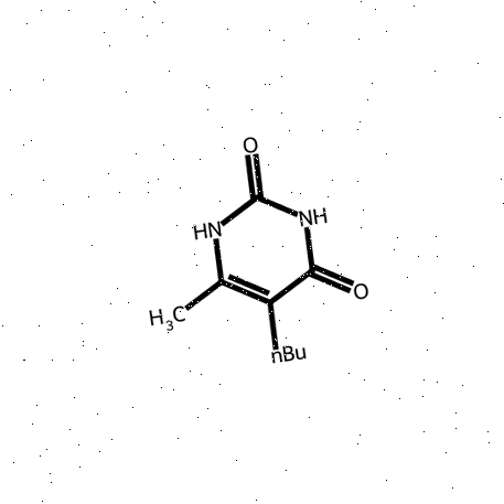 CCCCc1c(C)[nH]c(=O)[nH]c1=O